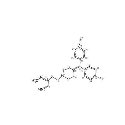 C/N=C(\C=N)CCN1CCC(=C(c2ccc(F)cc2)c2ccc(F)cc2)CC1